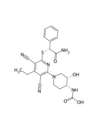 CCc1c(C#N)c(S[C@@H](C(N)=O)c2ccccc2)nc(N2CC[C@@H](NC(=O)O)[C@@H](O)C2)c1C#N